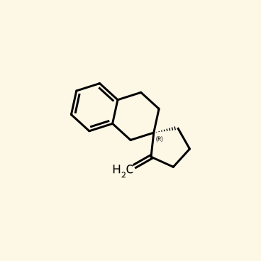 C=C1CCC[C@]12CCc1ccccc1C2